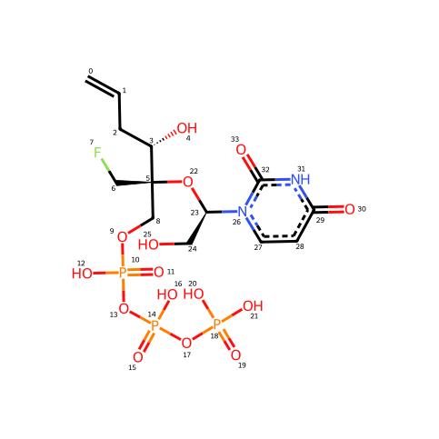 C=CC[C@H](O)[C@@](CF)(COP(=O)(O)OP(=O)(O)OP(=O)(O)O)O[C@H](CO)n1ccc(=O)[nH]c1=O